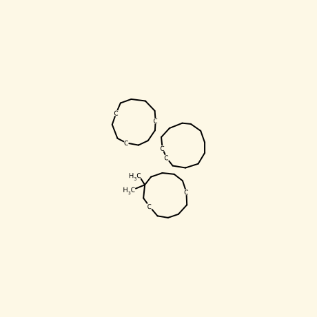 C1CCCCCCCCCCC1.C1CCCCCCCCCCC1.CC1(C)CCCCCCCCCCC1